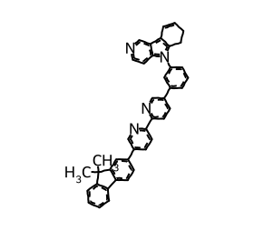 CC1(C)c2ccccc2-c2ccc(-c3ccc(-c4ccc(-c5cccc(-n6c7c(c8cnccc86)C=CCC7)c5)cn4)nc3)cc21